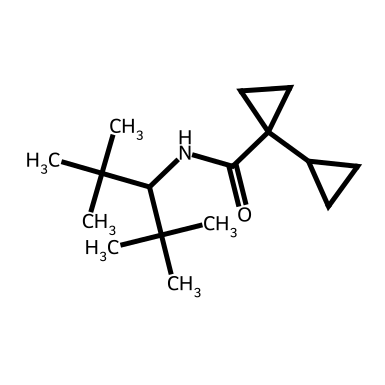 CC(C)(C)C(NC(=O)C1(C2CC2)CC1)C(C)(C)C